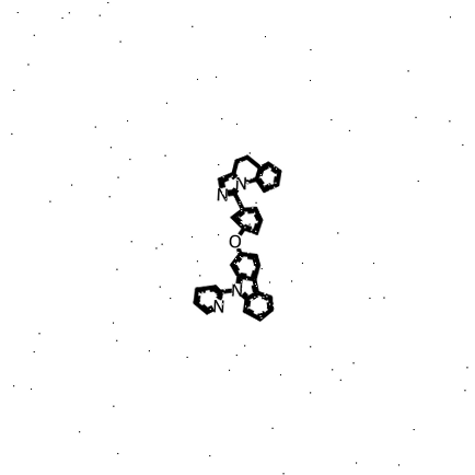 c1ccc(-n2c3ccccc3c3ccc(Oc4cccc(-c5ncc6n5-c5ccccc5CC6)c4)cc32)nc1